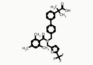 Cc1cc(C)c(C(=O)N(Cc2ccc(-c3cccc(C(C)(C)C(=O)O)c3)cc2)Cc2ccc(C(F)(F)F)o2)c(C)c1